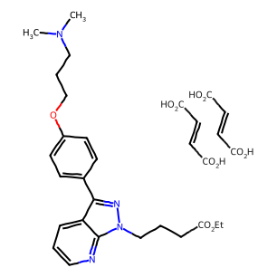 CCOC(=O)CCCn1nc(-c2ccc(OCCCN(C)C)cc2)c2cccnc21.O=C(O)C=CC(=O)O.O=C(O)C=CC(=O)O